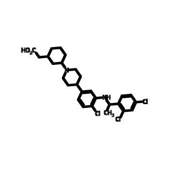 CC(Nc1cc(C2CCN(C3CCCC(CC(=O)O)C3)CC2)ccc1Cl)c1ccc(Cl)cc1Cl